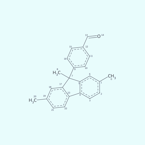 Cc1ccc2c(c1)C(C)(c1ccc(C=O)cc1)c1cc(C)ccc1-2